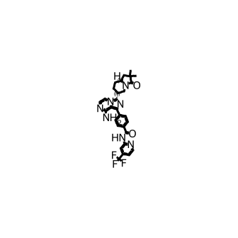 CC1(C)C[C@@H]2CC[C@@H](c3nc(-c4ccc(C(=O)Nc5cc(C(F)(F)F)ccn5)cc4)c4c(N)nccn34)CN2C1=O